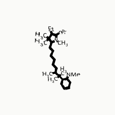 CCCC1C(CC)C(C)(C)C(CCCCCCC(C)C(C)(C)C2CCCCC2NC)N1C